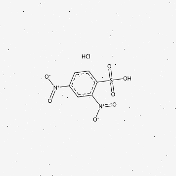 Cl.O=[N+]([O-])c1ccc(S(=O)(=O)O)c([N+](=O)[O-])c1